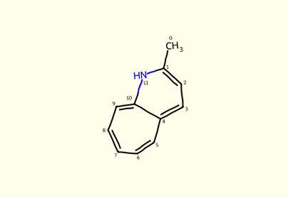 CC1=CC=C2C=CC=CC=C2N1